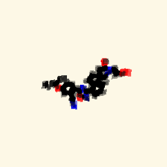 CC(C)Oc1ccc(-c2nc(-c3cccc4c3CC[C@]43CC(=O)N(CCO)C3)no2)c(C#N)c1